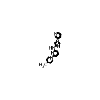 CC1CCN(c2cccc(Nc3cn(-c4cccnc4)cn3)n2)CC1